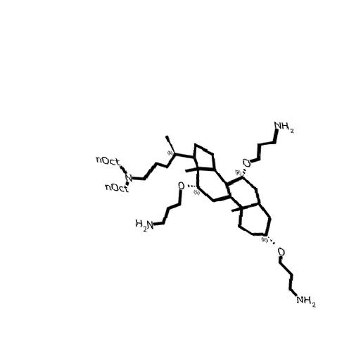 CCCCCCCCN(CCCCCCCC)CCC[C@@H](C)C1CCC2C3C(C[C@H](OCCCN)C21C)C1(C)CC[C@@H](OCCCN)CC1C[C@H]3OCCCN